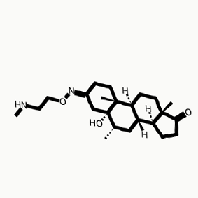 CNCCO/N=C1/CC[C@]2(C)[C@H]3CC[C@]4(C)C(=O)CC[C@H]4[C@@H]3C[C@H](C)[C@@]2(O)C1